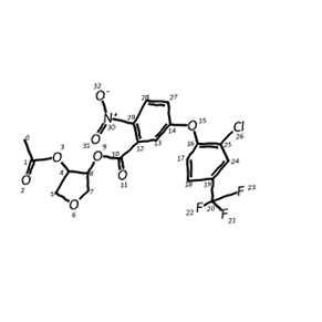 CC(=O)OC1COCC1OC(=O)c1cc(Oc2ccc(C(F)(F)F)cc2Cl)ccc1[N+](=O)[O-]